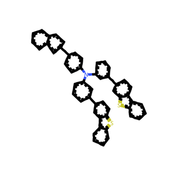 c1cc(-c2ccc3c(c2)sc2ccccc23)cc(N(c2ccc(-c3ccc4ccccc4c3)cc2)c2cccc(-c3ccc4sc5ccccc5c4c3)c2)c1